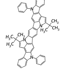 CC(C)(C)c1cc2c3c4ccccc4n(-c4ccccc4)c3cc3c4cc5c(cc4n1c32)c1cc2c(c3ccccc3n2-c2ccccc2)c2cc(C(C)(C)C)n5c12